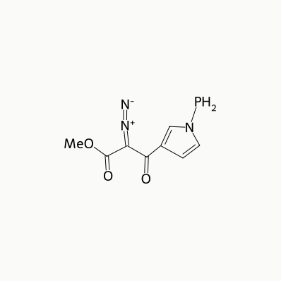 COC(=O)C(=[N+]=[N-])C(=O)c1ccn(P)c1